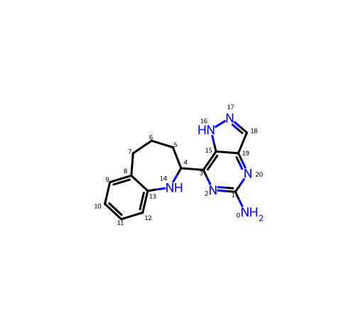 Nc1nc(C2CCCc3ccccc3N2)c2[nH]ncc2n1